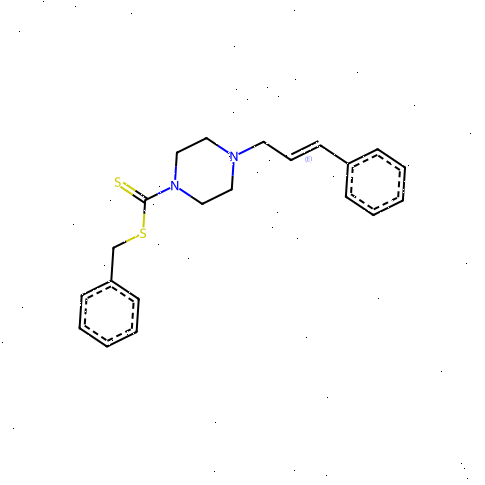 S=C(SCc1ccccc1)N1CCN(C/C=C/c2ccccc2)CC1